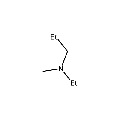 [CH2]CCN(C)C[CH2]